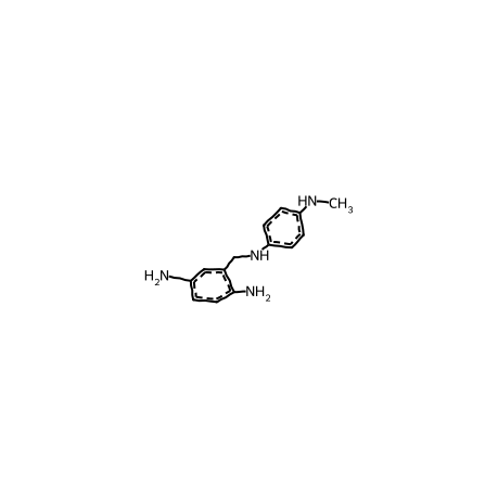 CNc1ccc(NCc2cc(N)ccc2N)cc1